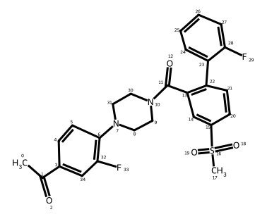 CC(=O)c1ccc(N2CCN(C(=O)c3cc(S(C)(=O)=O)ccc3-c3ccccc3F)CC2)c(F)c1